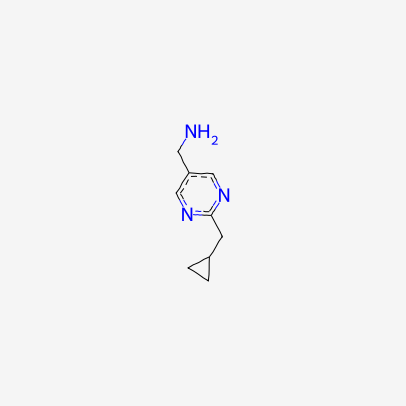 NCc1cnc(CC2CC2)nc1